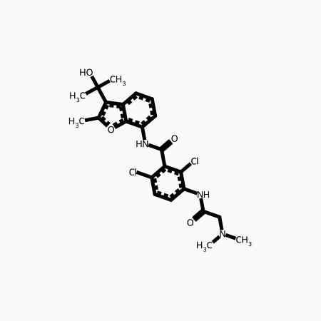 Cc1oc2c(NC(=O)c3c(Cl)ccc(NC(=O)CN(C)C)c3Cl)cccc2c1C(C)(C)O